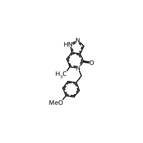 COc1ccc(Cn2c(C)cc3[nH]ncc3c2=O)cc1